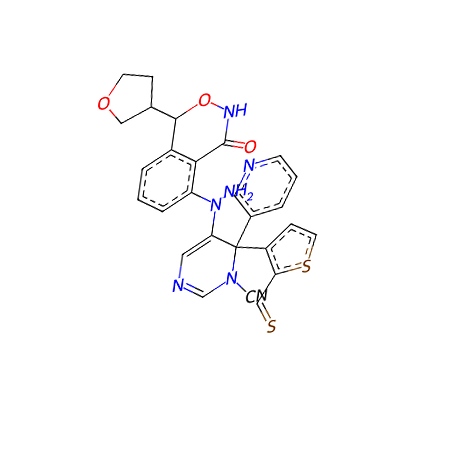 N#CN1C=NC=C(N(N)c2cccc3c2C(=O)NOC3C2CCOC2)C1(c1cccnc1)c1ccsc1C=S